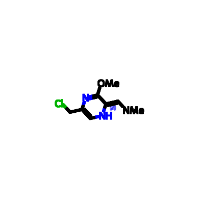 CN/C=C1\NC=C(CCl)N=C1OC